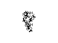 CC(C)OC(=O)C(C)(C)COP(=O)(CO[C@@H](C)Cn1cnc2c(N)ncnc21)NC(C)(C)C(=O)OC(C)C